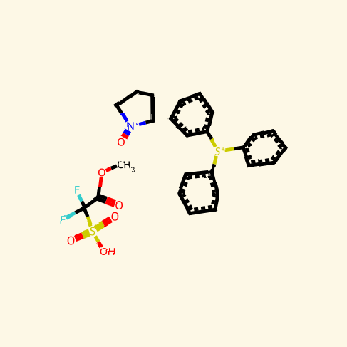 COC(=O)C(F)(F)S(=O)(=O)O.O=[N+]1CCCC1.c1ccc([S+](c2ccccc2)c2ccccc2)cc1